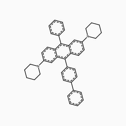 c1ccc(-c2ccc(-c3c4ccc(N5CCCCC5)cc4c(-c4ccccc4)c4ccc(N5CCCCC5)cc34)cc2)cc1